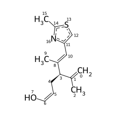 C=C(C)[C@@H](C/C=C\O)/C(C)=C/c1csc(C)n1